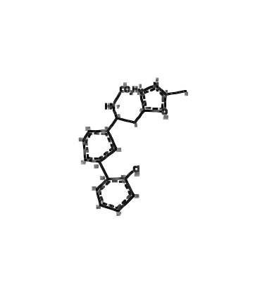 Cc1nnc(CC(NC(=O)O)c2cccc(-c3ccccc3Cl)c2)o1